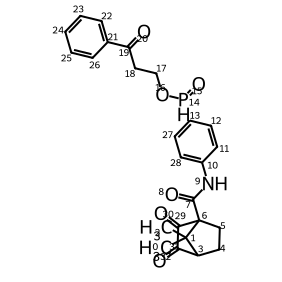 CC1(C)C2CCC1(C(=O)Nc1ccc([PH](=O)OCCC(=O)c3ccccc3)cc1)C(=O)C2=O